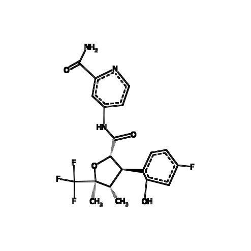 C[C@H]1[C@H](c2ccc(F)cc2O)[C@@H](C(=O)Nc2ccnc(C(N)=O)c2)O[C@]1(C)C(F)(F)F